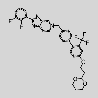 Fc1cccc(-c2nc3ccn(Cc4ccc(-c5ccc(OCCC6OCCCO6)cc5C(F)(F)F)cc4)cc-3n2)c1F